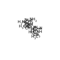 CCC(Nc1nc(NCC[C@H](Nc2nc(N)ncc2C(N)=O)C(C)(C)C)ncc1C#N)C(C)C